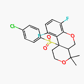 CC1(C)OCCC2(S(=O)(=O)c3ccc(Cl)cc3)c3c(F)ccc(F)c3OCC12